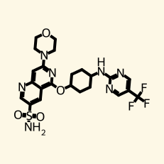 NS(=O)(=O)c1cnc2cc(N3CCOCC3)nc(OC3CCC(Nc4ncc(C(F)(F)F)cn4)CC3)c2c1